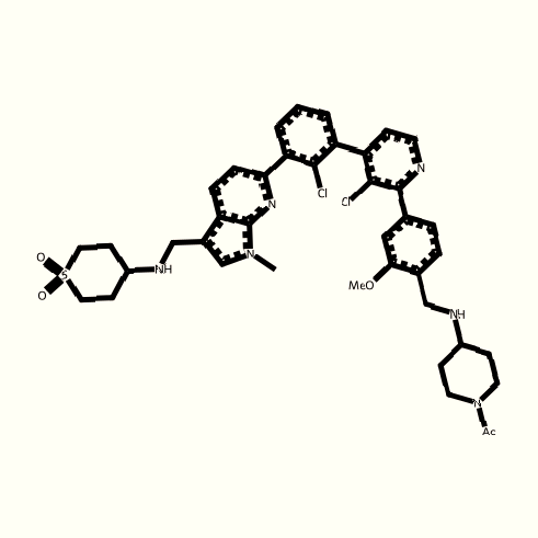 COc1cc(-c2nccc(-c3cccc(-c4ccc5c(CNC6CCS(=O)(=O)CC6)cn(C)c5n4)c3Cl)c2Cl)ccc1CNC1CCN(C(C)=O)CC1